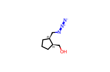 [N-]=[N+]=NC[C@@H]1CCC[C@@H]1CO